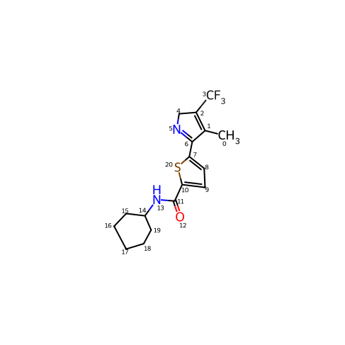 CC1=C(C(F)(F)F)CN=C1c1ccc(C(=O)NC2CCCCC2)s1